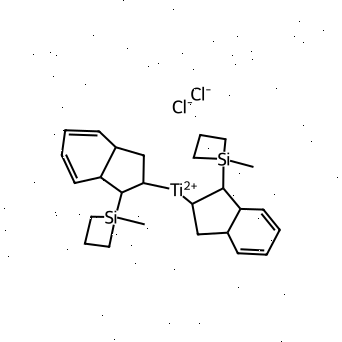 C[Si]1(C2[CH]([Ti+2][CH]3CC4C=CC=CC4C3[Si]3(C)CCC3)CC3C=CC=CC32)CCC1.[Cl-].[Cl-]